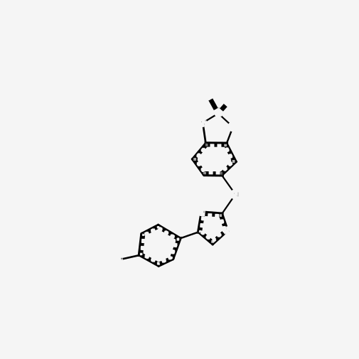 O=S1(=O)Nc2ccc(Nc3ncc(-c4ccc(Cl)cc4)o3)cc2O1